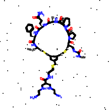 CCCCNC(=O)/N=C/C1CSCc2cc(CSCCNC(=O)C(CNCCN)CNCCN)cc(c2)CSC[C@@H](C(=O)O)NC(=O)[C@H](Cc2ccccc2)NC(=O)[C@H](CCC(N)=O)NC(=O)[C@H](CC)NC(=O)[C@@H]2CCCN2C(=O)[C@@H]2CCCN2C1=O